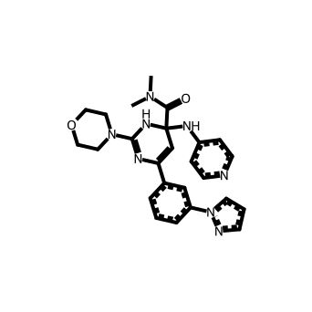 CN(C)C(=O)C1(Nc2ccncc2)C=C(c2cccc(-n3cccn3)c2)N=C(N2CCOCC2)N1